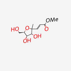 COC(=O)C=CC1(C)O[C@H](CO)[C@H](O)C1O